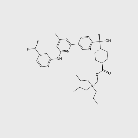 CCC[N+](CCC)(CCC)COC(=O)[C@H]1CC[C@H]([C@@](C)(O)c2ccc(-c3cc(C)cc(Nc4cc(C(F)F)ccn4)n3)cn2)CC1